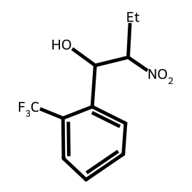 CCC(C(O)c1ccccc1C(F)(F)F)[N+](=O)[O-]